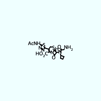 CC(=O)Nc1nnc(C2=C(C(=O)O)N3C(=O)C(N(C(=O)CN)C4CCC4)[C@@H]3SC2)s1